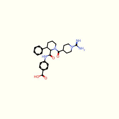 N=C(N)N1CCC(C(=O)N2CCCC(c3ccccc3)C2C(=O)Nc2ccc(C(=O)O)cc2)CC1